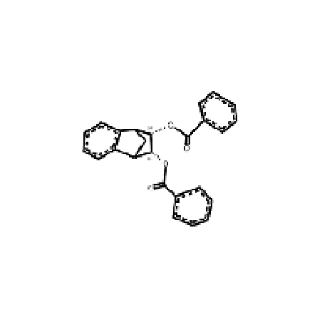 O=C(O[C@@H]1C2CC(c3ccccc32)[C@@H]1OC(=O)c1ccccc1)c1ccccc1